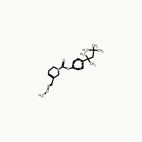 CON=CC1=CCCN(C(=O)Oc2ccc(C(C)(C)CC(C)(C)C)cc2)C1